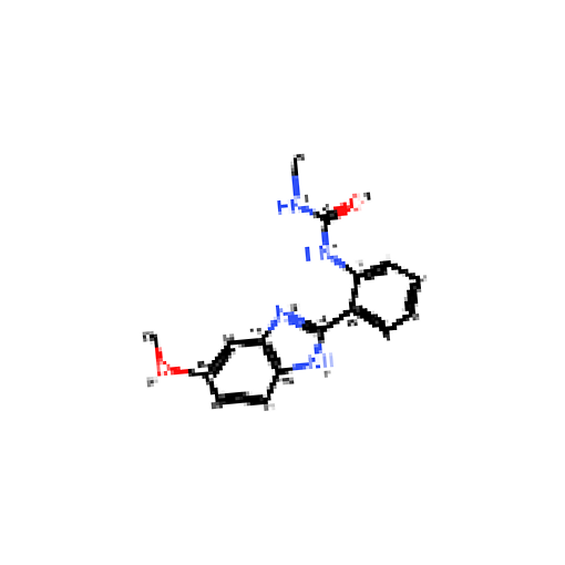 CNC(=O)Nc1ccccc1-c1nc2cc(OC)ccc2[nH]1